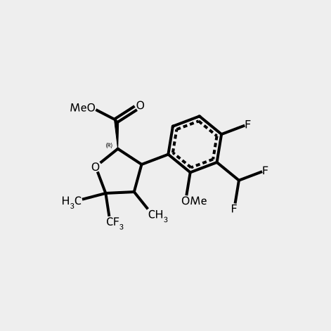 COC(=O)[C@@H]1OC(C)(C(F)(F)F)C(C)C1c1ccc(F)c(C(F)F)c1OC